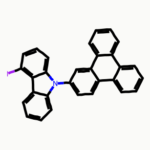 Ic1cccc2c1c1ccccc1n2-c1ccc2c3ccccc3c3ccccc3c2c1